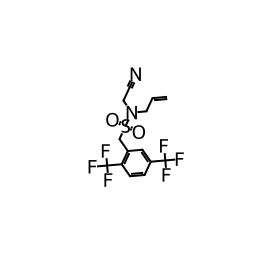 C=CCN(CC#N)S(=O)(=O)Cc1cc(C(F)(F)F)ccc1C(F)(F)F